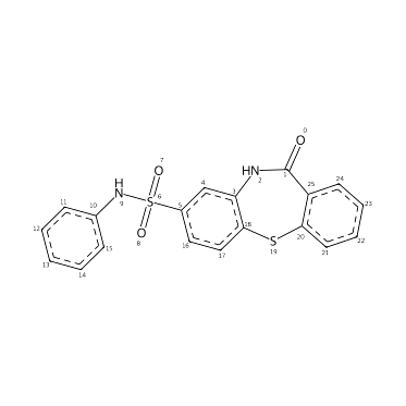 O=C1Nc2cc(S(=O)(=O)Nc3ccccc3)ccc2Sc2ccccc21